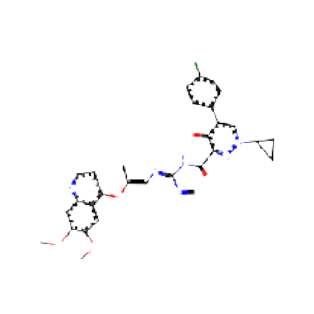 C=N/C(=N\C=C(/C)Oc1ccnc2cc(OC)c(OC)cc12)NC(=O)c1nn(C2CC2)cc(-c2ccc(F)cc2)c1=O